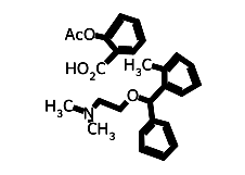 CC(=O)Oc1ccccc1C(=O)O.Cc1ccccc1C(OCCN(C)C)c1ccccc1